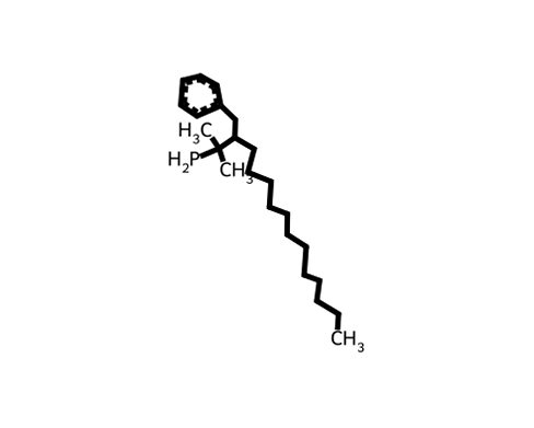 CCCCCCCCCCCCC(Cc1ccccc1)C(C)(C)P